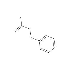 C=C(C)CCc1ccccc1